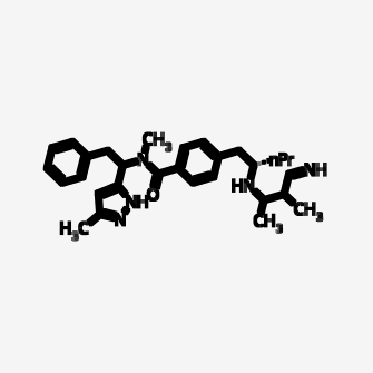 CCC[C@@H](Cc1ccc(C(=O)N(C)C(Cc2ccccc2)c2cc(C)n[nH]2)cc1)NC(C)C(C)C=N